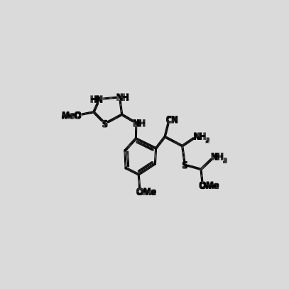 COc1ccc(NC2NNC(OC)S2)c(C(C#N)C(N)SC(N)OC)c1